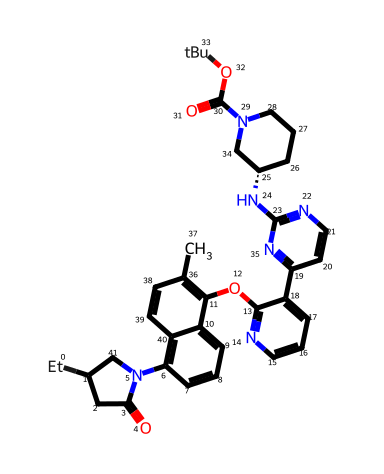 CCC1CC(=O)N(c2cccc3c(Oc4ncccc4-c4ccnc(N[C@H]5CCCN(C(=O)OC(C)(C)C)C5)n4)c(C)ccc23)C1